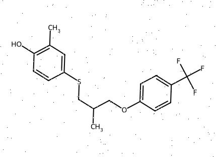 Cc1cc(SCC(C)COc2ccc(C(F)(F)F)cc2)ccc1O